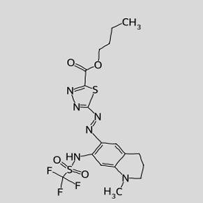 CCCCOC(=O)c1nnc(N=Nc2cc3c(cc2NS(=O)(=O)C(F)(F)F)N(C)CCC3)s1